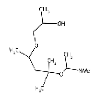 CNC(C)OC(C)(C)CC(C)OCC(C)O